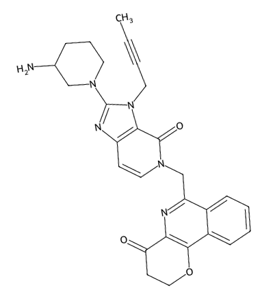 CC#CCn1c(N2CCCC(N)C2)nc2ccn(Cc3nc4c(c5ccccc35)OCCC4=O)c(=O)c21